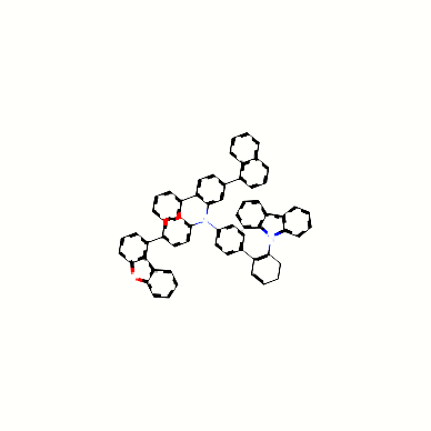 C1=CC(c2ccc(N(c3ccc(-c4cccc5oc6ccccc6c45)cc3)c3cc(-c4cccc5ccccc45)ccc3-c3ccccc3)cc2)=C(n2c3ccccc3c3ccccc32)CC1